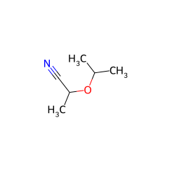 CC(C)OC(C)C#N